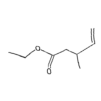 C=CC(C)CC(=O)OCC